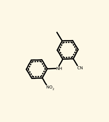 Cc1ccc(C#N)c(Nc2ccccc2[N+](=O)[O-])c1